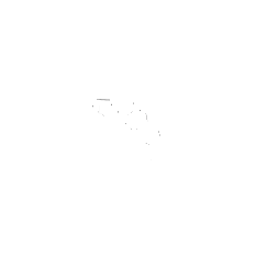 Cc1nc(-n2cnc(Br)c2)nc2cc(C(F)(F)F)ccc12